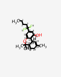 CCCCC(F)(F)c1cc(O)c2c(c1)OC(C)(C)[C@@H]1CCC(C)=C[C@@H]21